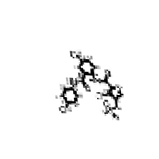 CS(=O)(=O)Cc1csc(C(=O)Nc2ccc(Cl)cc2C(=O)Nc2ccc(Cl)cc2)c1Cl